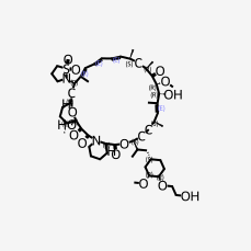 CO[C@@H]1C[C@H](CC(C)[C@@H]2CC[C@H](C)/C=C(\C)[C@@H](O)[C@@H](OC)C(=O)[C@H](C)C[C@H](C)/C=C/C=C/C=C(\C)[C@H](N3CCCS3(=O)=O)C[C@@H]3CC[C@@H](C)[C@@](O)(O3)C(=O)C(=O)N3CCCC[C@H]3C(=O)O2)CC[C@H]1OCCO